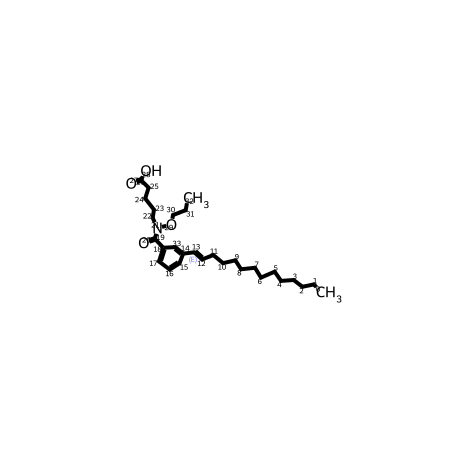 CCCCCCCCCCCC/C=C/c1cccc(C(=O)N(CCCCC(=O)O)OCCC)c1